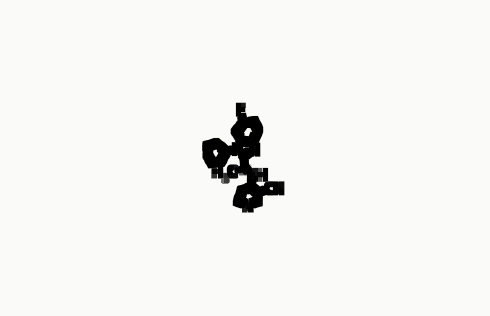 C[C@H](Nc1ccncc1C#N)c1nc2ccc(F)cc2n1-c1ccccc1